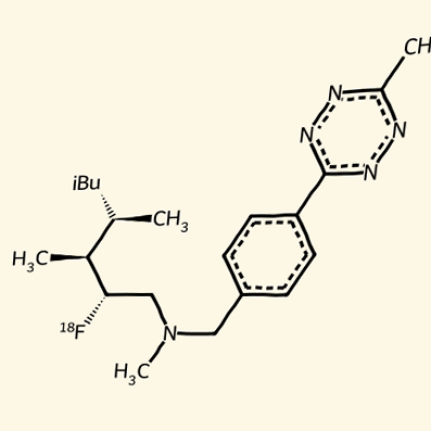 CC[C@@H](C)[C@@H](C)[C@H](C)[C@@H]([18F])CN(C)Cc1ccc(-c2nnc(C)nn2)cc1